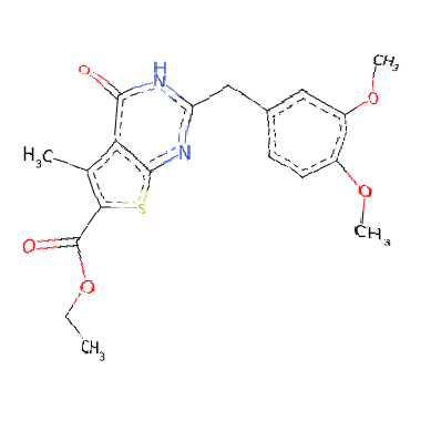 CCOC(=O)c1sc2nc(Cc3ccc(OC)c(OC)c3)[nH]c(=O)c2c1C